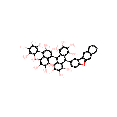 Bc1c(B)c(B)c(-c2c(B)c(B)c(-c3c4c(B)c(B)c(B)c(B)c4c(-c4ccc5oc6cc7ccccc7cc6c5c4)c4c(B)c(B)c(B)c(B)c34)c3c(B)c(B)c(B)c(B)c23)c(B)c1B